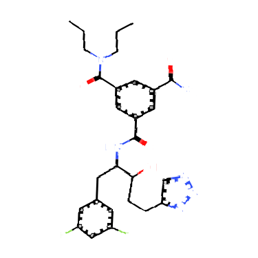 CCCN(CCC)C(=O)c1cc(C(N)=O)cc(C(=O)NC(Cc2cc(F)cc(F)c2)C(O)CCc2cnn[nH]2)c1